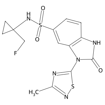 Cc1nsc(-n2c(=O)[nH]c3ccc(S(=O)(=O)NC4(CF)CC4)cc32)n1